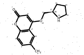 Cc1ccc2oc(=O)cc(OC[C@H]3CCCN3)c2c1